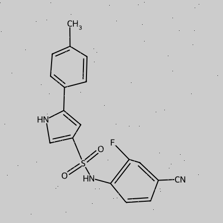 Cc1ccc(-c2cc(S(=O)(=O)Nc3ccc(C#N)cc3F)c[nH]2)cc1